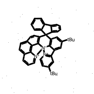 CC(C)(C)c1cc2c3c(c1)C1(c4ccccc4-c4ccccc41)c1ccc4ccc5ccc[n+]6c5c4c1[N+]36[n+]1ccc(C(C)(C)C)cc1-2